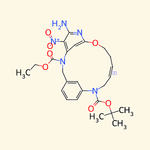 CCOC(=O)N1Cc2cccc(c2)N(C(=O)OC(C)(C)C)C/C=C\CCOc2cc1c([N+](=O)[O-])c(N)n2